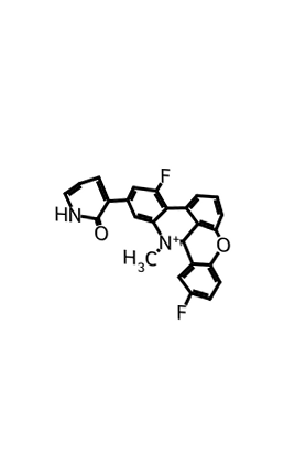 C[n+]1c2c3c(cccc3c3c(F)cc(-c4ccc[nH]c4=O)cc31)Oc1ccc(F)cc1-2